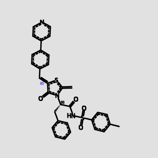 C=c1s/c(=C\c2ccc(-c3ccncc3)cc2)c(=O)n1[C@@H](Cc1ccccc1)C(=O)NS(=O)(=O)c1ccc(C)cc1